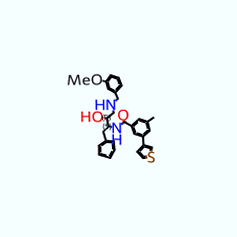 COc1cccc(CNC[C@@H](O)[C@H](Cc2ccccc2)NC(=O)c2cc(C)cc(-c3ccsc3)c2)c1